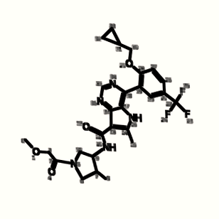 COCC(=O)N1CC(C)C(NC(=O)c2c(C)[nH]c3c(-c4cc(C(F)(F)F)ccc4OCC4CC4)ncnc23)C1